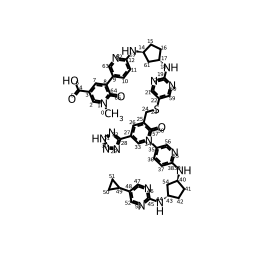 Cn1cc(C(=O)O)cc(-c2ccc(N[C@H]3CC[C@H](Nc4ncc(SCc5cc(-c6nn[nH]n6)cn(-c6ccc(N[C@H]7CC[C@H](Nc8ncc(C9CC9)cn8)C7)nc6)c5=O)cn4)C3)nc2)c1=O